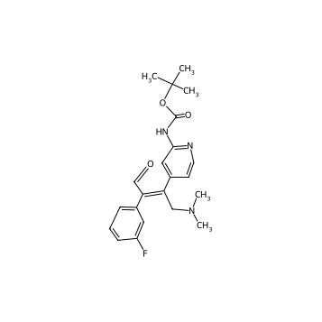 CN(C)CC(=C(C=O)c1cccc(F)c1)c1ccnc(NC(=O)OC(C)(C)C)c1